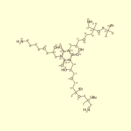 CCC(C)C(C)(CN)COC(C)(CC)CCOCC(O)Cn1c(=O)n(CC(O)COCCCCN)c(=O)n(CC(O)COCCC(C)(CN)OCC(C)(C)C(C)C)c1=O